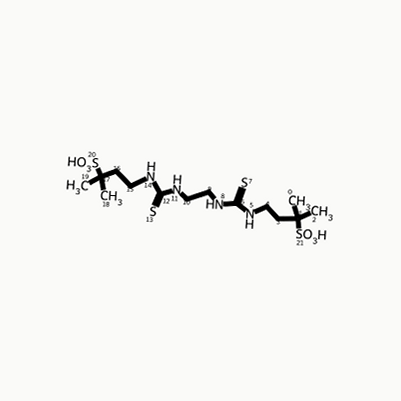 CC(C)(CCNC(=S)NCCNC(=S)NCCC(C)(C)S(=O)(=O)O)S(=O)(=O)O